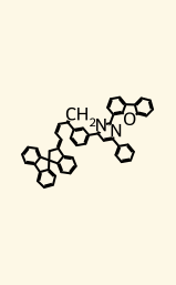 C=C(/C=C\C=C1/CC2(c3ccccc31)c1ccccc1-c1ccccc12)c1cccc(-c2cc(-c3ccccc3)nc(-c3cccc4c3oc3ccccc34)n2)c1